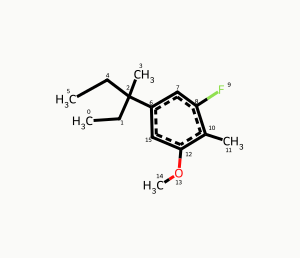 CCC(C)(CC)c1cc(F)c(C)c(OC)c1